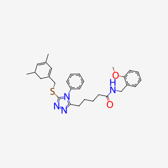 COc1ccccc1CNC(=O)CCCCc1nnc(SCC2=CC(C)=CC(C)C2)n1-c1ccccc1